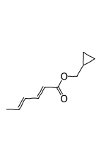 CC=CC=CC(=O)OCC1CC1